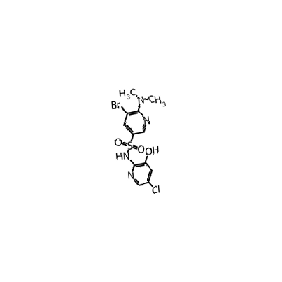 CN(C)c1ncc(S(=O)(=O)Nc2ncc(Cl)cc2O)cc1Br